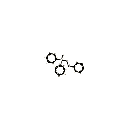 C[Si](C[SiH2]c1ccccc1)(c1ccccc1)c1ccccc1